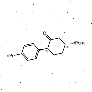 CCCCC[C@@H]1CC[C@@H](c2ccc(CCC)cc2)C(=O)C1